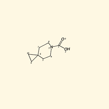 O=C(O)N1CCC2(CC1)CC2